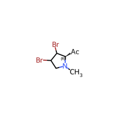 CC(=O)[C@@H]1C(Br)C(Br)CN1C